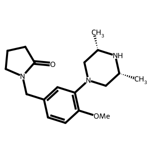 COc1ccc(CN2CCCC2=O)cc1N1C[C@@H](C)N[C@@H](C)C1